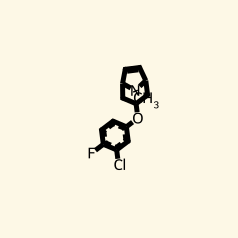 CN1C2C=CC1CC(Oc1ccc(F)c(Cl)c1)C2